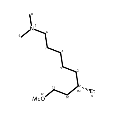 CC[C@@H](CCCCCN(C)C)CCOC